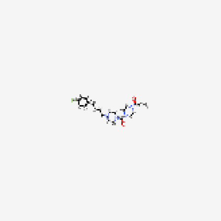 CC(=O)N1CCN(C(=O)N2CCN(CCCCc3ccc(F)cc3)CC2)CC1